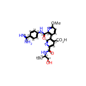 COc1ccc(-c2cnc(C(=O)NC(CO)C(C)(C)C)cc2C(=O)O)c(C(=O)Nc2ccc(C(=N)N)cc2)n1